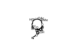 CO[C@H]1/C=C/O[C@@]2(C)Oc3c(C)c(O)c4c(=O)c(c5oc6cc(OCCCN(C)C)ccc6nc-5c4c3C2=O)NC(=O)/C(C)=C\C=C\[C@H](C)[C@H](O)[C@@H](C)[C@@H](C)[C@@H](C)[C@H](OC(C)=O)[C@@H]1C